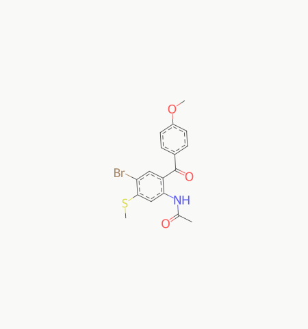 COc1ccc(C(=O)c2cc(Br)c(SC)cc2NC(C)=O)cc1